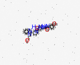 COCCCn1c([C@@H]2CCCN(C(=O)C[C@H](N)CNC(=O)Nc3cccc(OC)c3)C2)nc2ccccc21